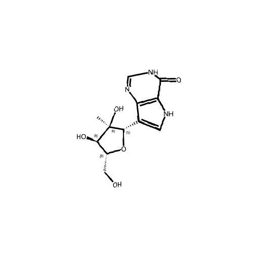 C[C@@]1(O)[C@H](O)[C@@H](CO)O[C@H]1c1c[nH]c2c(=O)[nH]cnc12